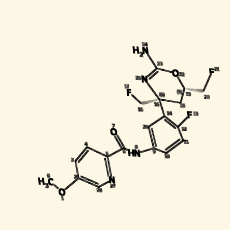 COc1ccc(C(=O)Nc2ccc(F)c([C@]3(CF)C[C@@H](CF)OC(N)=N3)c2)nc1